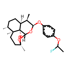 CC(F)Oc1ccc(O[C@H]2O[C@@H]3O[C@]4(C)CC[C@@]5(C)[C@H](C)CC[C@@H]([C@H]2C)[C@@]35OO4)cc1